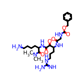 CN(C)C(=O)C(CCCCN)NC(=O)C(=O)C(CCCNC(=N)N)NC(=O)CNC(=O)OCc1ccccc1